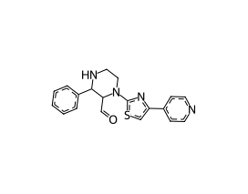 O=CC1C(c2ccccc2)NCCN1c1nc(-c2ccncc2)cs1